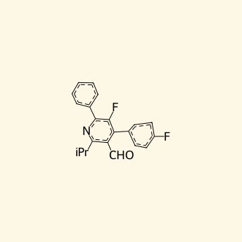 CC(C)c1nc(-c2ccccc2)c(F)c(-c2ccc(F)cc2)c1C=O